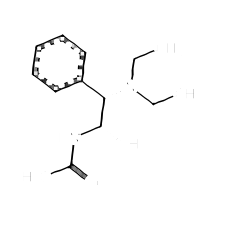 CCN(CC)[C@@H](c1ccccc1)[C@H](C)NC(C)=O